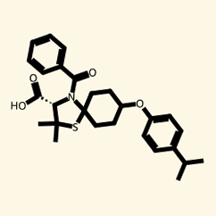 CC(C)c1ccc(OC2CCC3(CC2)SC(C)(C)[C@H](C(=O)O)N3C(=O)c2ccccc2)cc1